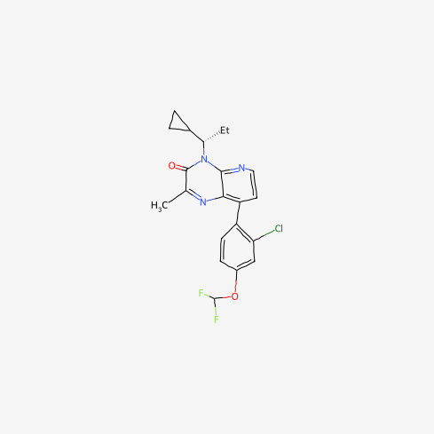 CC[C@@H](C1CC1)n1c(=O)c(C)nc2c(-c3ccc(OC(F)F)cc3Cl)ccnc21